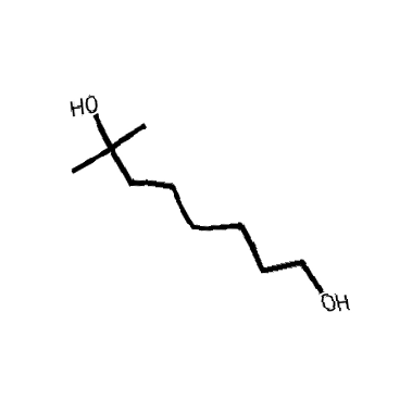 CC(C)(O)CCCCCCO